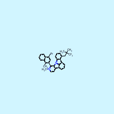 Cc1c(-c2c3c(cc[n+]2C)c2cccc4c5c(CC(C)(C)C(F)(F)F)cccc5n3c24)cc(C(C)C)c2ccccc12